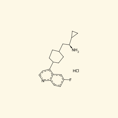 Cl.N[C@@H](CC1CCC(c2ccnc3ccc(F)cc23)CC1)C1CC1